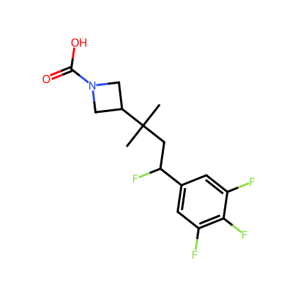 CC(C)(CC(F)c1cc(F)c(F)c(F)c1)C1CN(C(=O)O)C1